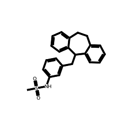 CS(=O)(=O)Nc1cccc(CC2c3ccccc3CCc3ccccc32)c1